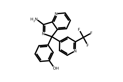 NC1=NC(c2cccc(O)c2)(c2ccnc(C(F)(F)F)c2)c2cccnc21